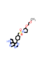 COCCOC1CCCN(S(=O)(=O)CC2CCC(c3ncnc4cnc5[nH]ccc5c34)CC2)C1